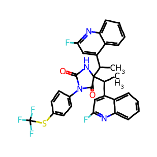 CC(c1cc(F)nc2ccccc12)C1(C(C)c2cc(F)nc3ccccc23)NC(=O)N(c2ccc(SC(F)(F)F)cc2)C1=O